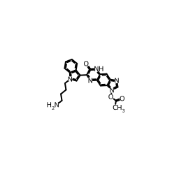 CC(=O)On1cnc2cc3[nH]c(=O)c(-c4cn(CCCCN)c5ccccc45)nc3cc21